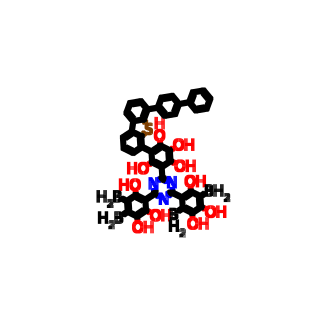 Bc1c(B)c(O)c(-c2nc(-c3c(B)c(O)c(O)c(B)c3O)nc(-c3c(O)c(O)c(O)c(-c4cccc5c4sc4c(-c6ccc(-c7ccccc7)cc6)cccc45)c3O)n2)c(O)c1O